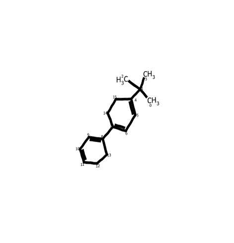 CC(C)(C)C1=CC=C(C2=CC=CCC2)CC1